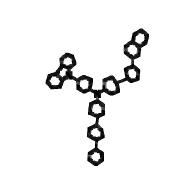 c1ccc(-c2ccc(-c3ccc(N(c4ccc(-c5cccc(-c6ccc7ccccc7c6)c5)cc4)c4ccc(-n5c6ccccc6c6ccccc65)cc4)cc3)cc2)cc1